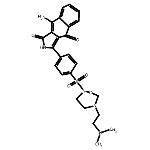 CN(C)CCN1CCN(S(=O)(=O)c2ccc(C3=C4C(=O)c5ccccc5C(N)=C4C(=O)N3)cc2)CC1